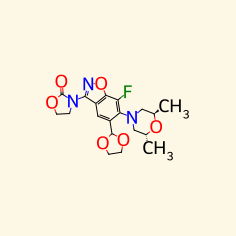 C[C@@H]1CN(c2c(C3OCCO3)cc3c(N4CCOC4=O)noc3c2F)C[C@@H](C)O1